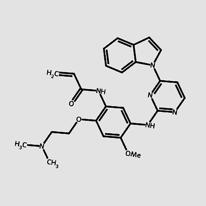 C=CC(=O)Nc1cc(Nc2nccc(-n3ccc4ccccc43)n2)c(OC)cc1OCCN(C)C